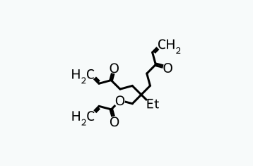 C=CC(=O)CCC(CC)(CCC(=O)C=C)COC(=O)C=C